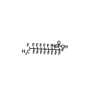 CC(F)C(F)(F)C(F)(F)C(F)(F)C(F)(F)C(F)(F)C(F)(F)C(F)(F)C(F)(F)P(=O)(O)O